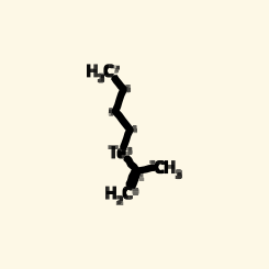 C=C(C)[Te]CCCC